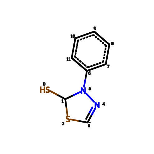 SC1S[C]=NN1c1ccccc1